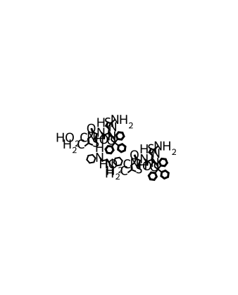 C1CCC(NCCNC2CCCCC2)CC1.C=CC1=C(C(=O)O)N2C(=O)[C@@H](NC(=O)/C(=N\OC(c3ccccc3)(c3ccccc3)c3ccccc3)c3csc(N)n3)[C@@H]2SC1.C=CC1=C(C(=O)O)N2C(=O)[C@@H](NC(=O)/C(=N\OC(c3ccccc3)(c3ccccc3)c3ccccc3)c3csc(N)n3)[C@@H]2SC1